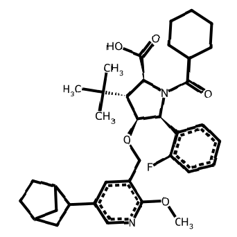 COc1ncc(C2CC3CCC2C3)cc1CO[C@H]1[C@H](C(C)(C)C)[C@@H](C(=O)O)N(C(=O)C2CCCCC2)[C@H]1c1ccccc1F